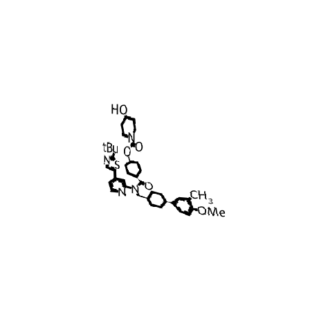 COc1ccc([C@H]2CC[C@H](CN(c3cc(-c4cnc(C(C)(C)C)s4)ccn3)C(=O)[C@H]3CC[C@H](OC(=O)N4CCC(O)CC4)CC3)CC2)cc1C